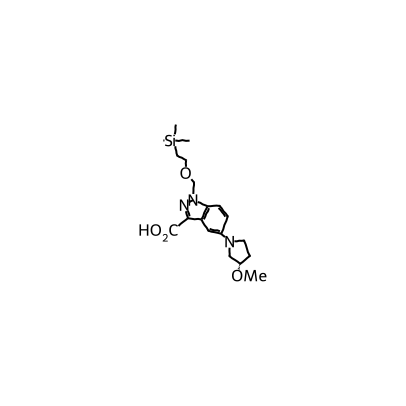 CO[C@H]1CCN(c2ccc3c(c2)c(C(=O)O)nn3COCC[Si](C)(C)C)C1